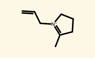 C=CC[N+]1=C(C)CCC1